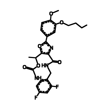 CCCCOc1cc(-c2nc(C(=O)NCc3ccc(F)cc3F)c(C(C)OC(N)=O)o2)ccc1OC